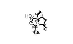 C=C[C@@]12CCC(=O)N1[C@@H](C(C)(C)C)O[C@H]2O